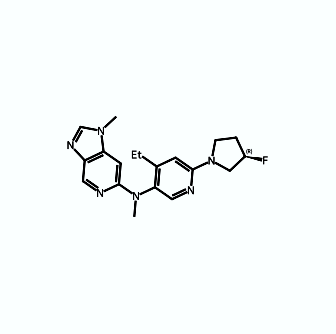 CCc1cc(N2CC[C@@H](F)C2)ncc1N(C)c1cc2c(cn1)ncn2C